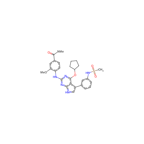 CNC(=O)c1ccc(Nc2nc(OC3CCCC3)c3c(-c4cccc(NS(C)(=O)=O)c4)c[nH]c3n2)c(OC)c1